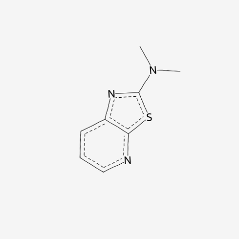 CN(C)c1nc2cccnc2s1